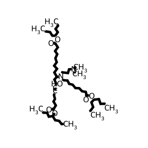 CCCCC(CCCC)OC(=O)CCCCCCCCC(CCCCCCCCC(=O)OC(CCCC)CCCC)N(CCCN(C)C)C(O)CCCCCCCC(=O)OC(CCCC)CCCC